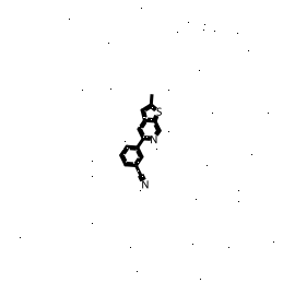 Cc1cc2cc(-c3cccc(C#N)c3)ncc2s1